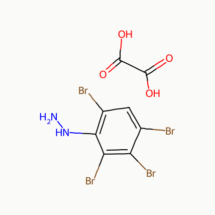 NNc1c(Br)cc(Br)c(Br)c1Br.O=C(O)C(=O)O